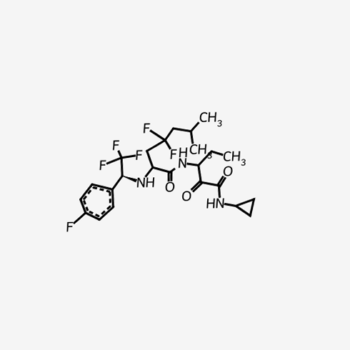 CCC(NC(=O)C(CC(F)(F)CC(C)C)N[C@@H](c1ccc(F)cc1)C(F)(F)F)C(=O)C(=O)NC1CC1